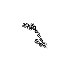 NC(=O)c1nnc(Nc2ccccn2)nc1Nc1ccc(C2CCN(CC3CCN(c4ccc5c(c4)C(=O)N(C4CCC(=O)NC4=O)C5=O)C3)CC2)cc1